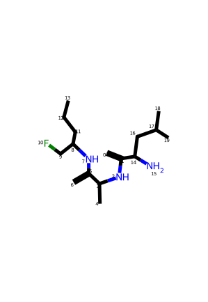 C=C(NC(C)C(=C)NC(CF)CCC)C(N)CC(C)C